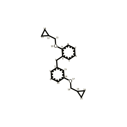 c1cc(Cc2ccccc2OCC2CC2)cc(OCC2CC2)c1